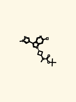 Cn1cc(-c2cn([C@H]3C[C@H](N(C)C(=O)OC(C)(C)C)C3)c3cc(Cl)ncc23)cn1